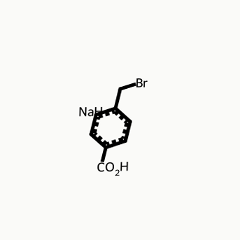 O=C(O)c1ccc(CBr)cc1.[NaH]